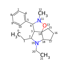 CCC1C2C(c3ccccc3)N(C)OC23CCCC3N1CC